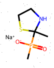 CC1(P(C)(=O)[O-])NCCS1.[Na+]